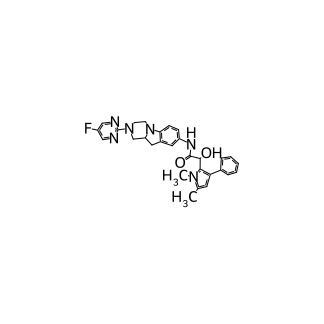 Cc1cc(-c2ccccc2)c(C(O)C(=O)Nc2ccc3c(c2)CC2CN(c4ncc(F)cn4)CCN32)n1C